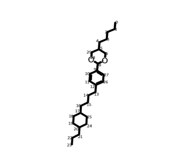 CCCCCC1COC(c2ccc(CCCCC3CCC(CCC)CC3)cc2)OC1